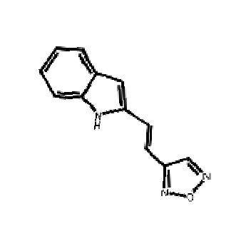 C(=Cc1cc2ccccc2[nH]1)c1cnon1